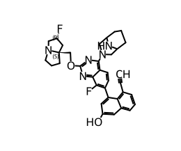 C#Cc1cccc2cc(O)cc(-c3ccc4c(N5CC6CCCC(C5)N6)nc(OC[C@@]56CCCN5C[C@H](F)C6)nc4c3F)c12